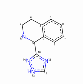 c1ccc2c(c1)CC[N]C2c1nc[nH]n1